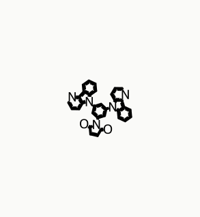 O=C1C=CC(=O)N1c1cc(-n2c3ccccc3c3ncccc32)cc(-n2c3ccccc3c3ncccc32)c1